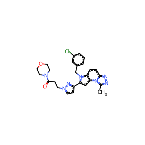 Cc1nnc2ccc3c(cc(-c4ccn(CCC(=O)N5CCOCC5)n4)n3Cc3cccc(Cl)c3)n12